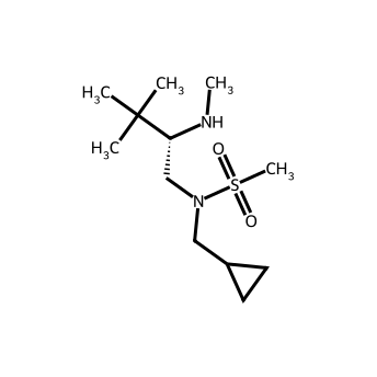 CN[C@H](CN(CC1CC1)S(C)(=O)=O)C(C)(C)C